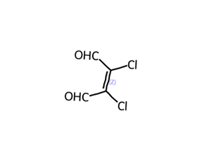 O=C/C(Cl)=C(/Cl)C=O